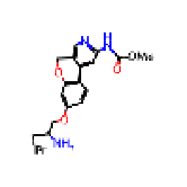 COC(=O)Nc1cc2c(cn1)COc1cc(OCC(N)CC(C)C)ccc1-2